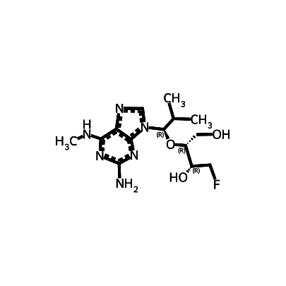 CNc1nc(N)nc2c1ncn2[C@H](O[C@H](CO)[C@@H](O)CF)C(C)C